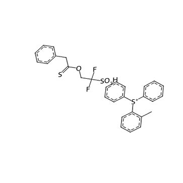 Cc1ccccc1[S+](c1ccccc1)c1ccccc1.O=S(=O)(O)C(F)(F)COC(=S)Cc1ccccc1